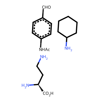 CC(=O)Nc1ccc(C=O)cc1.NC1CCCCC1.NCC[C@H](N)C(=O)O